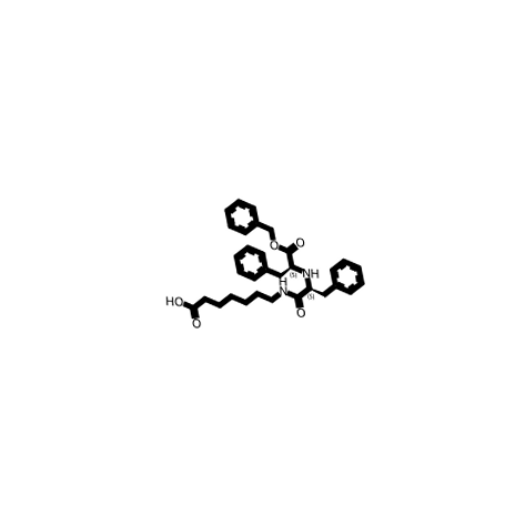 O=C(O)CCCCCCNC(=O)[C@H](Cc1ccccc1)N[C@@H](Cc1ccccc1)C(=O)OCc1ccccc1